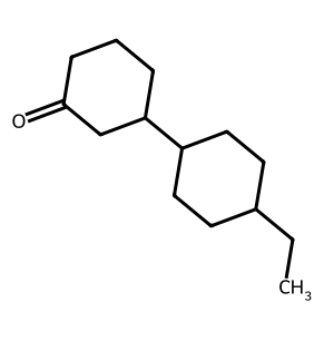 CCC1CCC(C2CCCC(=O)C2)CC1